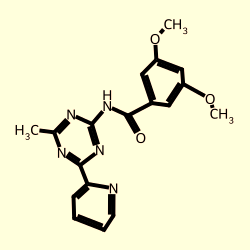 COc1cc(OC)cc(C(=O)Nc2nc(C)nc(-c3ccccn3)n2)c1